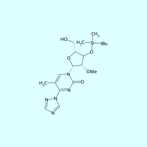 CO[C@H]1C(O[Si](C)(C)C(C)(C)C)[C@@H](CO)O[C@H]1n1cc(C)c(-n2cncn2)nc1=O